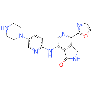 O=C1NCc2c(-c3ncco3)ncc(Nc3ccc(N4CCNCC4)cn3)c21